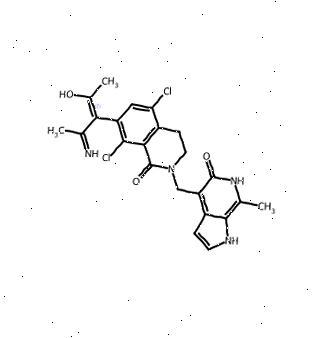 CC(=N)/C(=C(/C)O)c1cc(Cl)c2c(c1Cl)C(=O)N(Cc1c(=O)[nH]c(C)c3[nH]ccc13)CC2